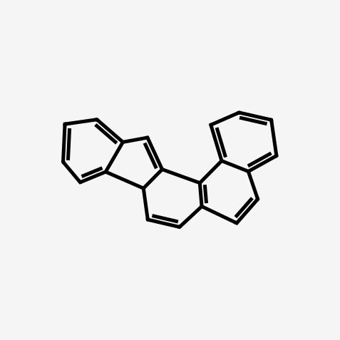 C1=CC2C(=Cc3ccccc32)c2c1ccc1ccccc21